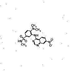 CNS(=O)(=O)c1ccc(N(C)C)c(Nc2ncnc3cc([N+](=O)[O-])ccc23)c1